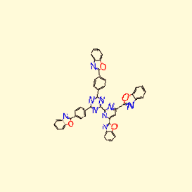 c1ccc2oc(-c3ccc(-c4nc(-c5ccc(-c6nc7ccccc7o6)cc5)nc(-c5nc(-c6nc7ccccc7o6)cc(-c6nc7ccccc7o6)n5)n4)cc3)nc2c1